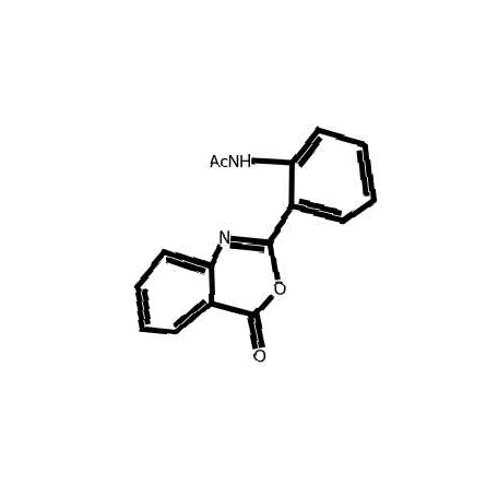 CC(=O)Nc1ccccc1-c1nc2ccccc2c(=O)o1